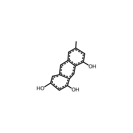 Cc1cc(O)c2cc3c(O)cc(O)cc3cc2c1